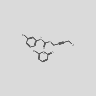 O=C(Nc1cccc(Cl)c1)OCC#CCCl.O=c1cccc(Cl)[nH]1